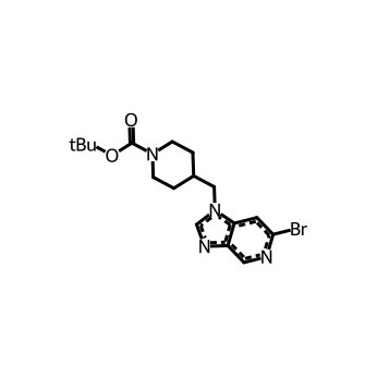 CC(C)(C)OC(=O)N1CCC(Cn2cnc3cnc(Br)cc32)CC1